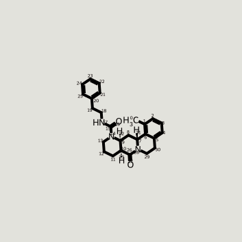 Cc1cccc2c1[C@H]1C[C@H]3[C@H](CCCN3C(=O)NCCc3ccccc3)C(=O)N1CC2